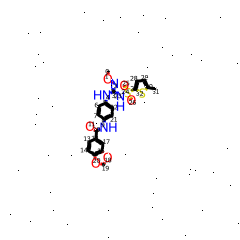 CO/N=C(\Nc1ccc(NC(=O)c2ccc3c(c2)OCO3)cc1)NS(=O)(=O)c1ccc(C)s1